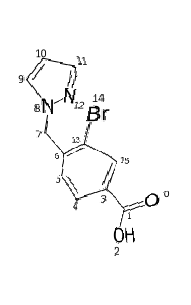 O=C(O)c1ccc(Cn2cccn2)c(Br)c1